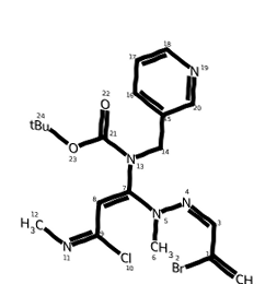 C=C(Br)/C=N\N(C)/C(=C\C(Cl)=N/C)N(Cc1cccnc1)C(=O)OC(C)(C)C